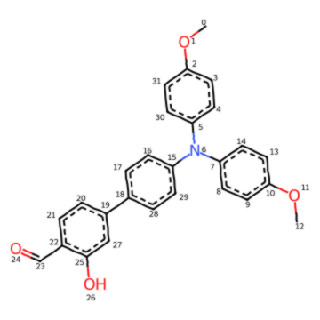 COc1ccc(N(c2ccc(OC)cc2)c2ccc(-c3ccc(C=O)c(O)c3)cc2)cc1